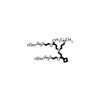 CCCCCCCCCCSSSCCOC(=O)CCN(CCCN(C)C)CCC(OCCSSSCCCCCCCCCC)=C1CCC1